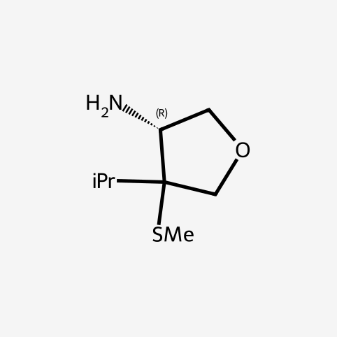 CSC1(C(C)C)COC[C@H]1N